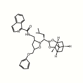 CC(C)C[C@@H](B1O[C@@H]2C[C@@H]3C[C@@H](C3(C)C)[C@]2(C)O1)N1OC(COc2ccccc2)CC1CNC(=O)c1nccc2ccccc12